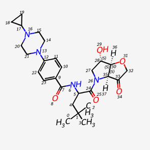 CC(C)(C)CC(NC(=O)c1ccc(N2CCN(C3CC3)CC2)cc1)C(=O)N1C[C@H](O)[C@H]2OCC(=O)[C@H]21